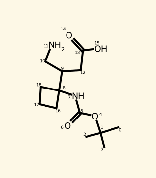 CC(C)(C)OC(=O)NC1(C(CN)CC(=O)O)CCC1